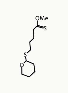 COC(=S)CCCCSC1CCCCO1